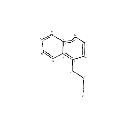 ICCc1cccc2ncccc12